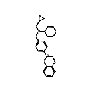 c1ccc2c(c1)OC[C@H](c1ccc(CN(CC3CC3)C3CCCCC3)cc1)O2